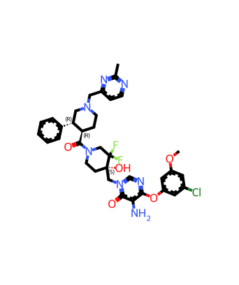 COc1cc(Cl)cc(Oc2ncn(C[C@@]3(O)CCN(C(=O)[C@@H]4CCN(Cc5ccnc(C)n5)C[C@H]4c4ccccc4)CC3(F)F)c(=O)c2N)c1